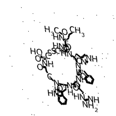 CCCC[C@H](NC(C)=O)C(=O)N[C@H]1CSSC[C@@H](C(=O)O)NC(=O)CCCNC(=O)[C@H](Cc2c[nH]c3ccccc23)NC(=O)[C@H](CCCNC(=N)N)NC(=O)[C@@H](Cc2ccccc2)NC(=O)[C@H](Cc2c[nH]cn2)NC1=O